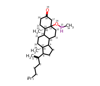 C=C(CCCC(C)C)C1CCC2C3CCC4(OPC)CC(=O)CC[C@]4(C)C3CC[C@]12C